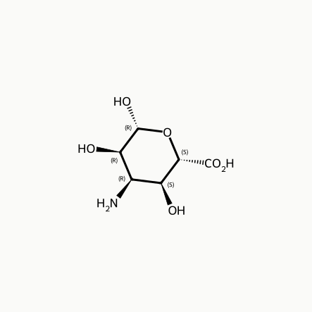 N[C@H]1[C@@H](O)[C@H](O)O[C@H](C(=O)O)[C@H]1O